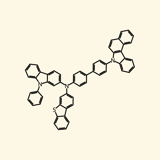 c1ccc(-n2c3ccccc3c3ccc(N(c4ccc(-c5ccc(-n6c7ccccc7c7c8ccccc8ccc76)cc5)cc4)c4ccc5c(c4)sc4ccccc45)cc32)cc1